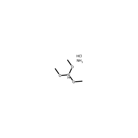 CO[SiH](OC)OC.Cl.N